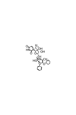 CC(N[P@@](O)(=S)OC[C@H]1O[C@@H](n2ccc(=O)[nH]c2=O)[C@](C)(O)[C@@H]1O)=C(Oc1ccccc1)OC1CCCCC1